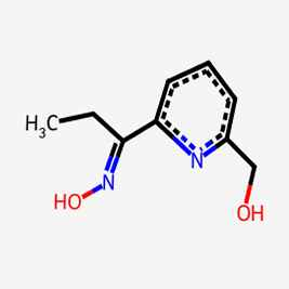 CCC(=NO)c1cccc(CO)n1